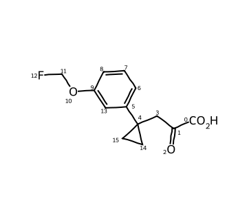 O=C(O)C(=O)CC1(c2cccc(OCF)c2)CC1